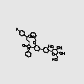 O=C1[C@H](CC[C@H](O)c2ccc(F)cc2)[C@@H](c2ccc(-c3ccc([C@@H]4O[C@H](CO)[C@@H](O)[C@H](O)[C@H]4O)cc3)cc2OCc2ccccc2)N1c1ccccc1